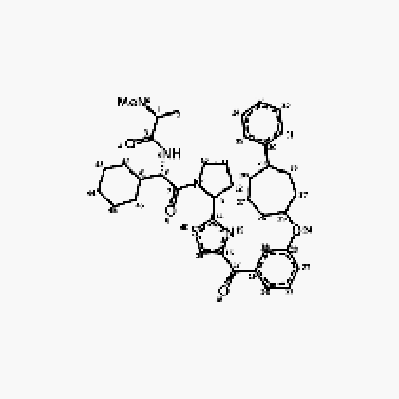 CN[C@@H](C)C(=O)N[C@H](C(=O)N1CCC[C@H]1c1nc(C(=O)c2cccc(OC3CCCC(c4ccccc4)CC3)c2)cs1)C1CCCCC1